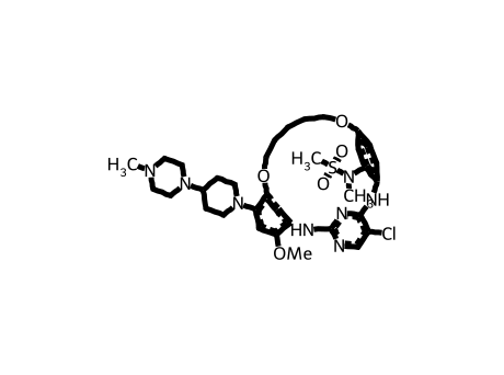 COc1cc(N2CCC(N3CCN(C)CC3)CC2)c2cc1Nc1ncc(Cl)c(n1)Nc1ccc(cc1N(C)S(C)(=O)=O)OCCCCCO2